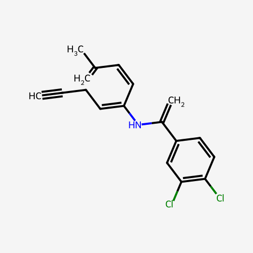 C#CC/C=C(\C=C/C(=C)C)NC(=C)c1ccc(Cl)c(Cl)c1